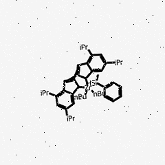 CCC[CH2][Zr]([CH2]CCC)([CH]1C(C)=Cc2c(C(C)C)cc(C(C)C)cc21)([CH]1C(C)=Cc2c(C(C)C)cc(C(C)C)cc21)[SiH](C)c1ccccc1